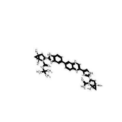 CC(C)(C)OC(=O)N1[C@@H]2C[C@@H]2C[C@H]1c1nc2cc(-c3ccc4nc(-c5c[nH]c([C@@H]6C[C@H]7C[C@H]7N6C(=O)O)n5)cnc4c3)ccc2[nH]1